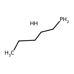 CCCCCP.[HH]